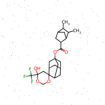 CC1C2CC(C(=O)OC34CC5CC(C3)C3(CC(O)(C(F)(F)F)OCO3)C(C5)C4)C(C2)C1C